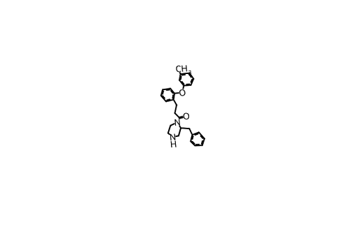 Cc1cccc(Oc2ccccc2CCC(=O)N2CCNCC2Cc2ccccc2)c1